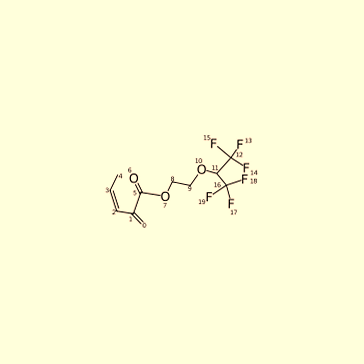 C=C(/C=C\C)C(=O)OCCOC(C(F)(F)F)C(F)(F)F